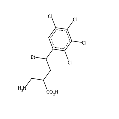 CCC(CC(CN)C(=O)O)c1cc(Cl)c(Cl)c(Cl)c1Cl